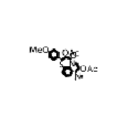 COc1ccc([C@@H]2Sc3ccccc3N(CC(CN(C)C)OC(C)=O)C(=O)[C@H]2OC(C)=O)cc1